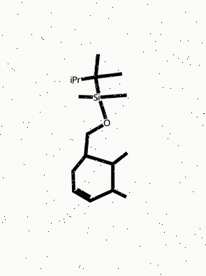 CC1C=CCC(CO[Si](C)(C)C(C)(C)C(C)C)C1C